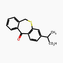 CC(C(=O)O)c1ccc2c(c1)SCc1ccccc1C2=O